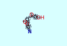 COc1ccc(/C=C/C(=O)c2ccc(O)cc2)cc1COc1ccc(C#N)cc1